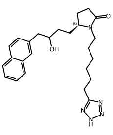 O=C1CC[C@H](CCC(O)Cc2ccc3ccccc3c2)N1CCCCCCc1nn[nH]n1